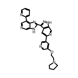 c1ccc(-c2cncc3[nH]c(-c4n[nH]c5cnc(-c6cncc(OCCN7CCCC7)c6)cc45)nc23)nc1